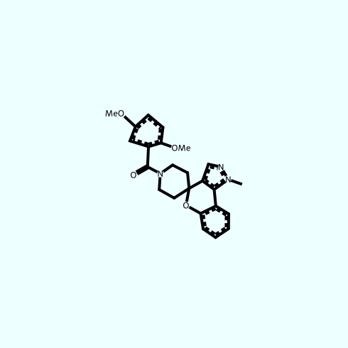 COc1ccc(OC)c(C(=O)N2CCC3(CC2)Oc2ccccc2-c2c3cnn2C)c1